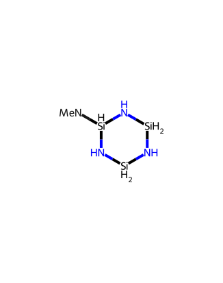 CN[SiH]1N[SiH2]N[SiH2]N1